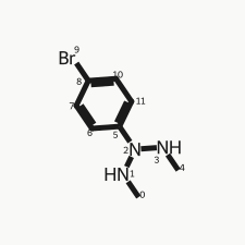 CNN(NC)c1ccc(Br)cc1